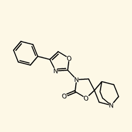 O=C1OC2(CN3CCC2CC3)CN1c1nc(-c2ccccc2)co1